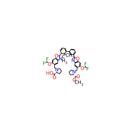 COC(=O)[C@@H]1CCCN1Cc1cc2nc(-c3cccc(C4=CC=CC(c5nc6cc(CN7CCC[C@H]7C(=O)O)c(OC(F)F)cc6o5)C4(C)C)c3)oc2cc1OC(F)F